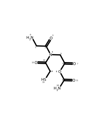 NCC(=O)N(CC(=O)OC(N)=O)C(=O)CS